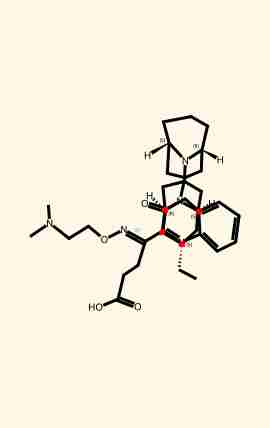 CC[C@@H]1C[C@H]2CC(N3[C@@H]4CCC[C@H]3CC(n3c(=O)c(/C(CCC(=O)O)=N/OCCN(C)C)nc5ccccc53)C4)C[C@@H](C1)C2